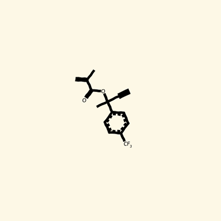 C#CC(C)(OC(=O)C(=C)C)c1ccc(C(F)(F)F)cc1